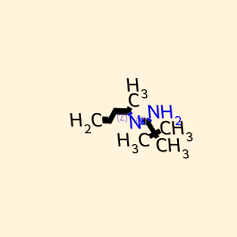 C=C/C=C(C)\N=C(/N)C(C)(C)C